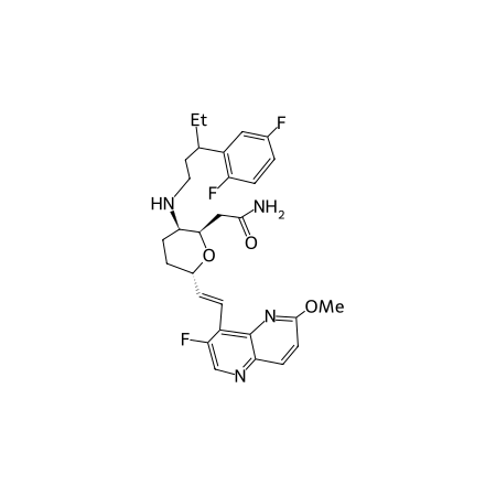 CCC(CCN[C@@H]1CC[C@@H](C=Cc2c(F)cnc3ccc(OC)nc23)O[C@@H]1CC(N)=O)c1cc(F)ccc1F